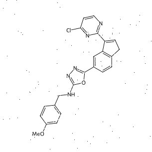 COc1ccc(CNc2nnc(-c3ccc4c(c3)C(c3nccc(Cl)n3)=CC4)o2)cc1